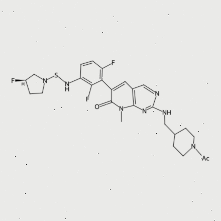 CC(=O)N1CCC(CNc2ncc3cc(-c4c(F)ccc(NSN5CC[C@@H](F)C5)c4F)c(=O)n(C)c3n2)CC1